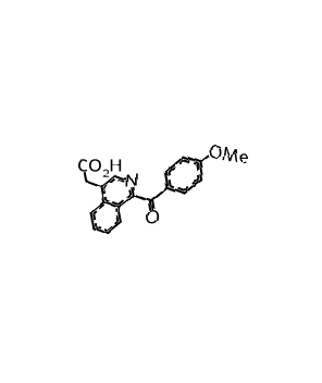 COc1ccc(C(=O)c2ncc(CC(=O)O)c3ccccc23)cc1